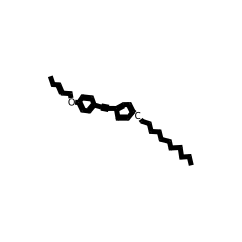 CCC=CCOc1ccc(C#Cc2ccc(CCCCCCCCCCCC)cc2)cc1